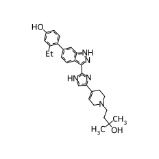 CCc1cc(O)ccc1-c1ccc2c(-c3nc(C4=CCN(CCC(C)(C)O)CC4)c[nH]3)n[nH]c2c1